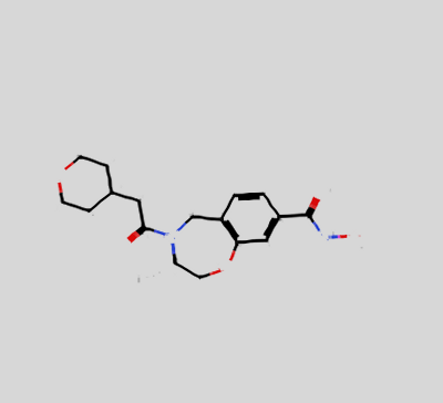 CC(C)[C@H]1COc2cc(C(=O)NO)ccc2CN1C(=O)CC1CCOCC1